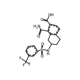 NC(=O)c1c(C(=O)O)ccc2c1CC(NS(=O)(=O)c1cccc(C(F)(F)F)c1)CC2